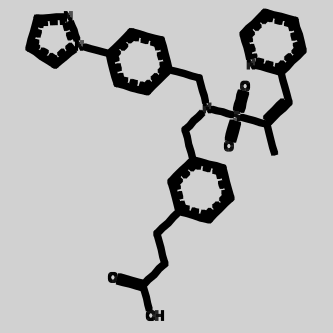 CC(=Cc1ccccn1)S(=O)(=O)N(Cc1ccc(-n2cccn2)cc1)Cc1cccc(CCC(=O)O)c1